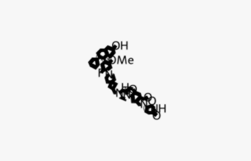 COc1cc(N2CCC3(CC2)CC(CN2CCN4c5cc6c(cc5OC[C@@H]4C2)C(=O)N([C@H]2CCC(=O)NC2=O)C6)C3)c(F)cc1[C@@H]1c2ccc(O)cc2CC[C@@H]1c1ccccc1